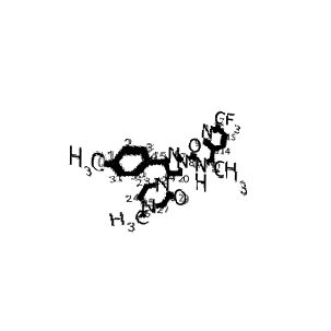 Cc1ccc(C2=NN(C(=O)N[C@H](C)c3ccc(C(F)(F)F)nc3)C[C@H]2N2CCN(C)CC2=O)cc1